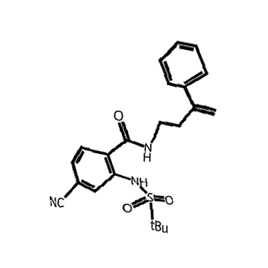 C=C(CCNC(=O)c1ccc(C#N)cc1NS(=O)(=O)C(C)(C)C)c1ccccc1